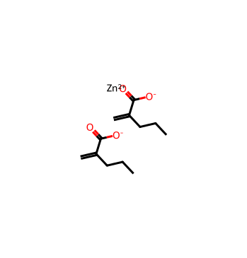 C=C(CCC)C(=O)[O-].C=C(CCC)C(=O)[O-].[Zn+2]